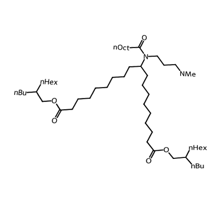 CCCCCCCCC(=O)N(CCCNC)C(CCCCCCCCC(=O)OCC(CCCC)CCCCCC)CCCCCCCCC(=O)OCC(CCCC)CCCCCC